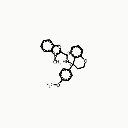 Cn1c(C(=O)N[C@]2(c3ccc(OC(F)(F)F)cc3)CCOc3cccnc32)nc2ccccc21